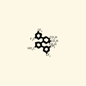 O=C(O)c1ccc(C2=CC(C(=O)O)(C(=O)O)C(C(=O)O)C=C2c2cc(C(F)(F)F)cc(C(F)(F)F)c2)c(-c2cc(C(F)(F)F)cc(C(F)(F)F)c2)c1